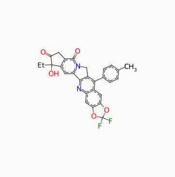 CCC1(O)C(=O)Cc2c1cc1n(c2=O)Cc2c-1nc1cc3c(cc1c2-c1ccc(C)cc1)OC(F)(F)O3